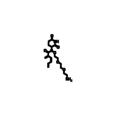 C=C/C=C\C(=C)C(=O)N(OCCOCCOCCN)C1CCC(=O)NC1=O